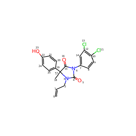 C=CCN1C(=O)N(c2ccc(Cl)c(Cl)c2)C(=O)C1(C)c1ccc(O)cc1